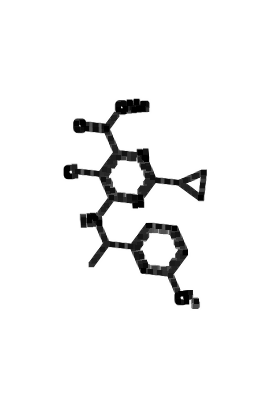 COC(=O)c1nc(C2CC2)nc(NC(C)c2cccc(C(F)(F)F)c2)c1Cl